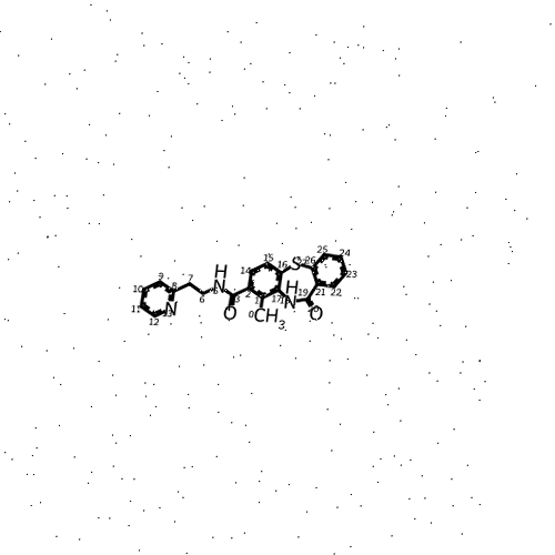 Cc1c(C(=O)NCCc2ccccn2)ccc2c1NC(=O)c1ccccc1S2